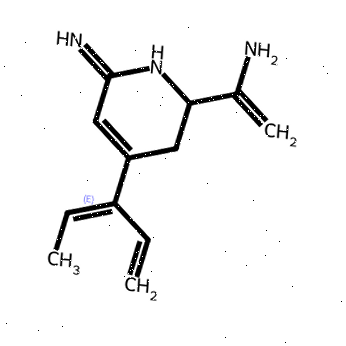 C=C/C(=C\C)C1=CC(=N)NC(C(=C)N)C1